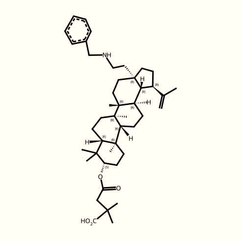 C=C(C)[C@@H]1CC[C@]2(CCNCc3ccccc3)CC[C@]3(C)[C@H](CC[C@@H]4[C@@]5(C)CC[C@H](OC(=O)CC(C)(C)C(=O)O)C(C)(C)[C@@H]5CC[C@]43C)[C@@H]12